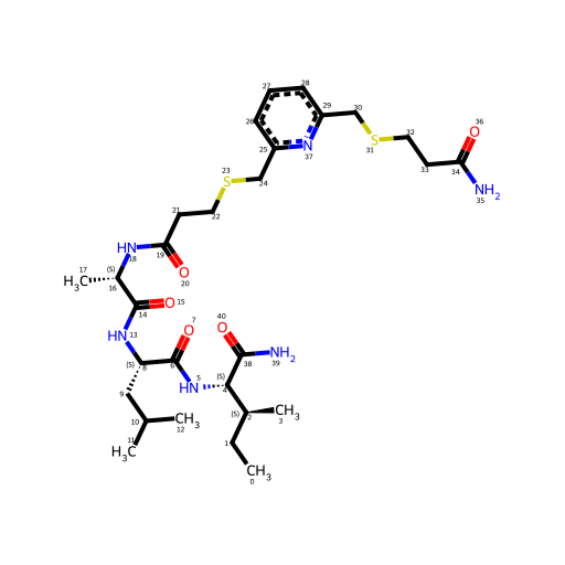 CC[C@H](C)[C@H](NC(=O)[C@H](CC(C)C)NC(=O)[C@H](C)NC(=O)CCSCc1cccc(CSCCC(N)=O)n1)C(N)=O